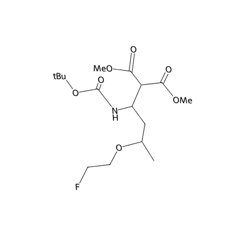 COC(=O)C(C(=O)OC)C(CC(C)OCCF)NC(=O)OC(C)(C)C